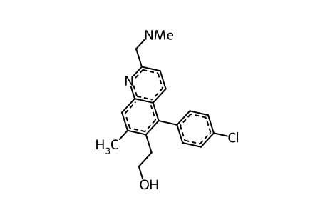 CNCc1ccc2c(-c3ccc(Cl)cc3)c(CCO)c(C)cc2n1